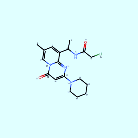 Cc1cc(C(C)NC(=O)CCl)c2nc(N3CCCCC3)cc(=O)n2c1